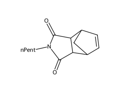 CCCCCN1C(=O)C2C3C=CC(C3)C2C1=O